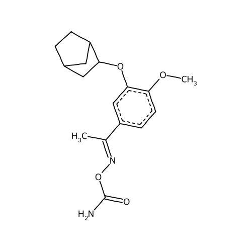 COc1ccc(C(C)=NOC(N)=O)cc1OC1CC2CCC1C2